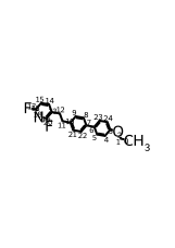 CCOc1ccc(-c2ccc(CCc3ccc(F)nc3F)cc2)cc1